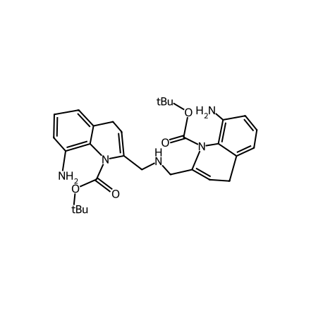 CC(C)(C)OC(=O)N1C(CNCC2=CCc3cccc(N)c3N2C(=O)OC(C)(C)C)=CCc2cccc(N)c21